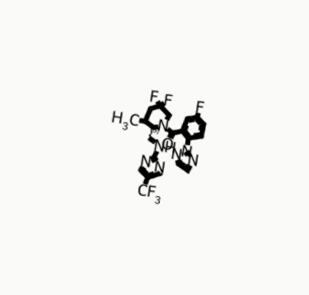 CC1CC(F)(F)CN(C(=O)c2cc(F)ccc2-n2nccn2)[C@@H]1CNc1ncc(C(F)(F)F)cn1